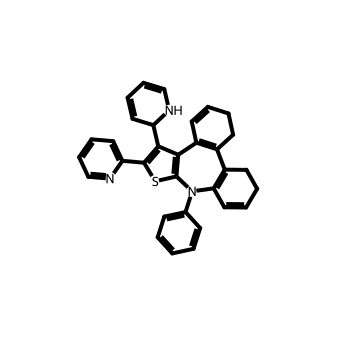 C1=CNC(c2c(-c3ccccn3)sc3c2C2=C(CCC=C2)C2=C(C=CCC2)N3c2ccccc2)C=C1